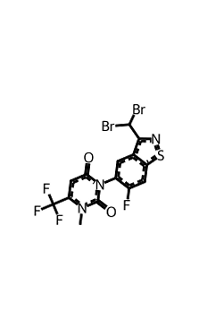 Cn1c(C(F)(F)F)cc(=O)n(-c2cc3c(C(Br)Br)nsc3cc2F)c1=O